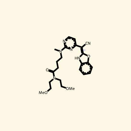 COCCN(CCOC)C(=O)CCCN(C)c1nccc(/C(C#N)=C2\Nc3ccccc3O2)n1